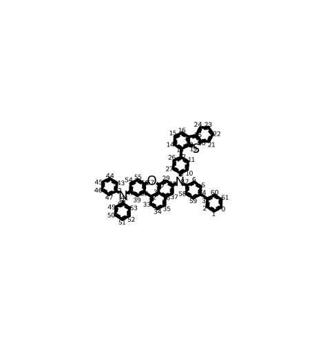 c1ccc(-c2ccc(N(c3ccc(-c4cccc5c4sc4ccccc45)cc3)c3cc4c5c(cccc5c3)-c3cc(N(c5ccccc5)c5ccccc5)ccc3O4)cc2)cc1